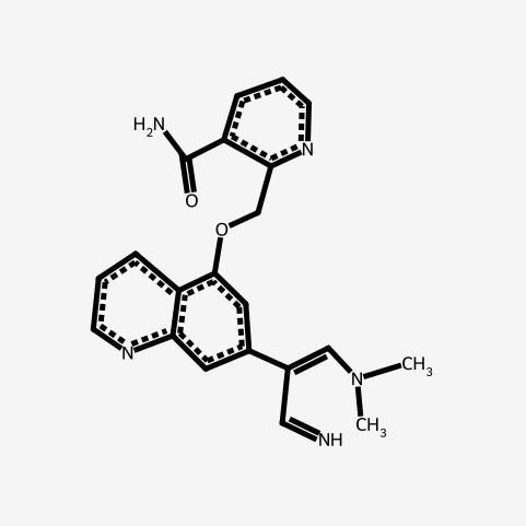 CN(C)/C=C(\C=N)c1cc(OCc2ncccc2C(N)=O)c2cccnc2c1